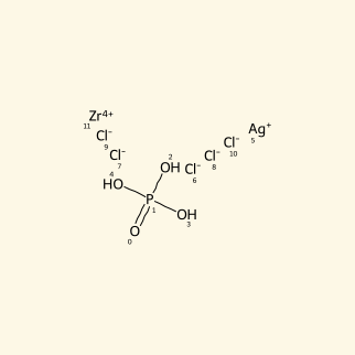 O=P(O)(O)O.[Ag+].[Cl-].[Cl-].[Cl-].[Cl-].[Cl-].[Zr+4]